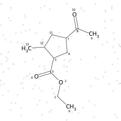 CCOC(=O)C1CC(C(C)=O)CC1C